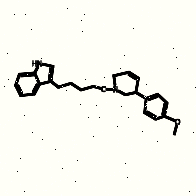 COc1ccc(C2C=CCN(CCCCCc3c[nH]c4ccccc34)C2)cc1